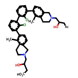 CC(=O)CC(O)CN1CCc2c(ccc(-c3cccc(-c4cccc(-c5ccc6c(c5C)CCN(CC(O)CC(=O)O)C6)c4Cl)c3Cl)c2C)C1